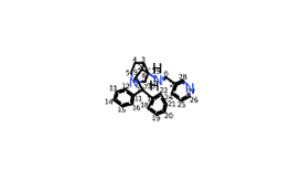 C(=N[C@@H]1C2CCN(CC2)[C@@H]1C(c1ccccc1)c1ccccc1)c1cccnc1